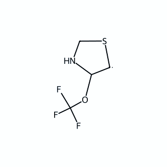 FC(F)(F)OC1[CH]SCN1